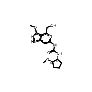 COc1n[nH]c2cc(NC(=O)N[C@@H]3CCC[C@H]3OC)nc(CO)c12